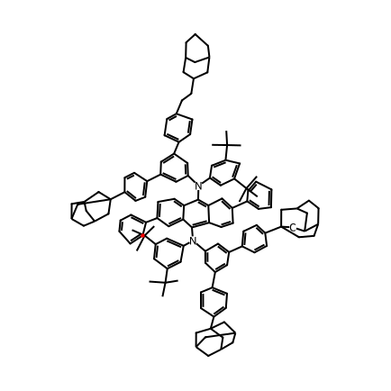 CC(C)(C)c1cc(N(c2cc(-c3ccc(CCC4CC5CCCC(C5)C4)cc3)cc(-c3ccc(C45CC6CC(CC(C6)C4)C5)cc3)c2)c2c3ccc(-c4ccccc4)cc3c(N(c3cc(-c4ccc(C56CC7CC(CC(C7)C5)C6)cc4)cc(-c4ccc(C56CCC7CCC(CC7C5)C6)cc4)c3)c3cc(C(C)(C)C)cc(C(C)(C)C)c3)c3ccc(-c4ccccc4)cc23)cc(C(C)(C)C)c1